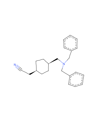 N#CC[C@H]1CC[C@@H](CN(Cc2ccccc2)Cc2ccccc2)CC1